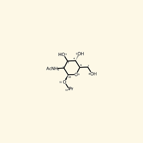 CC(=O)NC1C(O)[C@H](O)C(CO)O[C@H]1OC(C)C